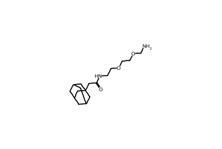 NCOCCOCCNC(=O)CC12CC3CC(CC(C3)C1)C2